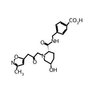 Cc1cc(CC(=O)CN2C[C@H](O)CC[C@H]2C(=O)NCc2ccc(C(=O)O)cc2)on1